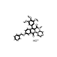 COC(=O)c1c(-c2cc(OC)c(OC)c(OC)c2)c2ccc(OCc3cccnc3)cc2c(=O)n1N1CCOCC1.Cl